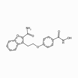 NC(=O)c1oc2ccccc2c1CCOc1ccc(C(=O)NO)cc1